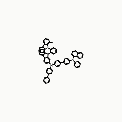 Cc1cccc2c3ccccc3n(-c3ccccc3C3c4ccccc4-c4ccc(N(c5ccc(-c6ccccc6)cc5)c5ccc(-c6ccc(N(c7ccccc7)c7cccc8ccccc78)cc6)cc5)cc43)c12